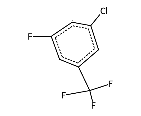 Fc1[c]c(Cl)cc(C(F)(F)F)c1